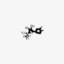 CCS(=O)(=O)N(C)c1oc(-c2ccc(F)c(F)c2)c(O)c1O